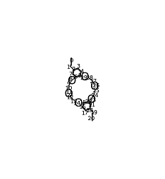 ICc1ccc2c(c1)OCCOCCOc1ccc(CI)cc1OCCOCCO2